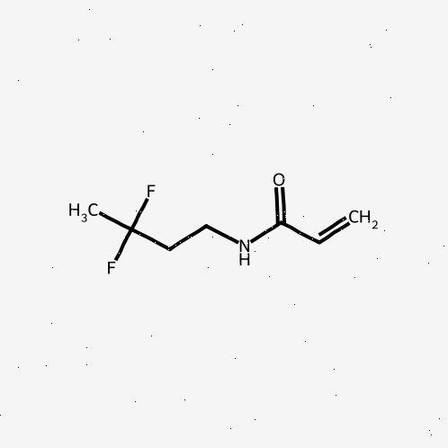 C=CC(=O)NCCC(C)(F)F